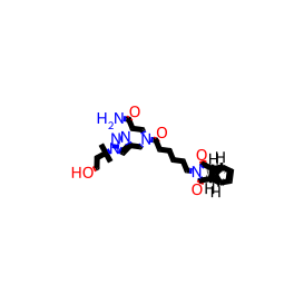 CC(C)(CCO)n1cc(CN(CCC(N)=O)C(=O)CCCCCN2C(=O)[C@@H]3[C@H](C2=O)[C@@H]2C=C[C@@H]3C2)nn1